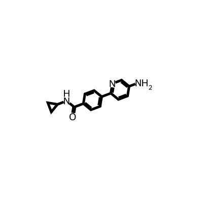 Nc1ccc(-c2ccc(C(=O)NC3CC3)cc2)nc1